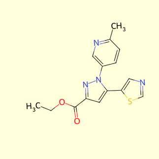 CCOC(=O)c1cc(-c2cncs2)n(-c2ccc(C)nc2)n1